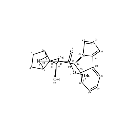 CC(C)(C)OC(=O)N1CC2CCC(C1)C21C[C@@H]([C@@H]2c3ccccc3-c3cncn32)[C@H]1O